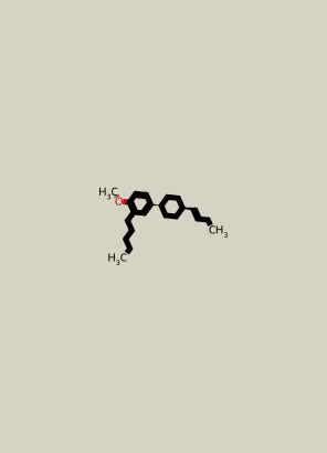 CCC=C[C@H]1CC[C@H](c2ccc(OC)c(CCCCC)c2)CC1